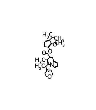 COc1c(OC(=O)c2cc3cccn3c(C(C)N3CCOCC3)c2C)cccc1C(C)C